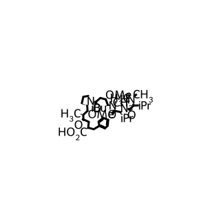 CC[C@H](C)[C@@H]([C@@H](CC(=O)N1CCC[C@H]1[C@H](OC)[C@@H](C)C(=O)C[C@@H](Cc1ccccc1)C(=O)O)OC)N(C)C(=O)[C@@H](NC(=O)C(C(C)C)N(C)C)C(C)C